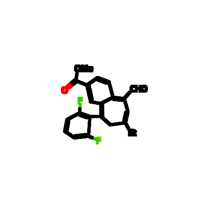 CCC1=CC(C=O)=c2ccc(C(=O)OC)cc2=C(c2c(F)cccc2F)C1